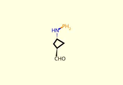 O=C[C@H]1C[C@H](NP)C1